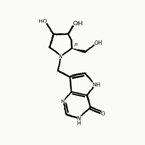 O=c1[nH]cnc2c(CN3CC(O)C(O)[C@H]3CO)c[nH]c12